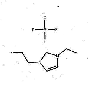 CCCN1C=CN(CC)C1.F[B-](F)(F)F